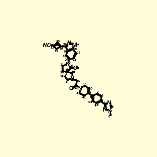 Cn1cnc(-c2ccc(C3=CCN(C(=O)CN4CC[C@]5(CCN(c6ccc7[nH]nc(C89CC(C#N)(C8)C9)c7c6)C5=O)C4)CC3)cc2)n1